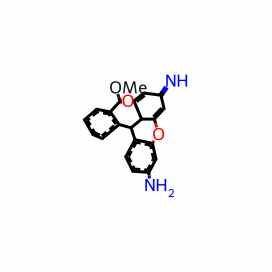 COC(=O)c1ccccc1C1c2ccc(N)cc2OC2=CC(=N)C=CC21